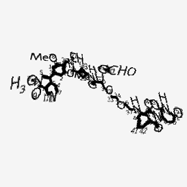 COc1cc(-c2cn(C)c(=O)c3cnccc23)cc(OC)c1CN(C)CC12CC(NC(=O)CCOCCOCCNc3cccc4c3C(=O)N(C3CCC(=O)NC3=O)C4=O)(C1)C2.O=CO